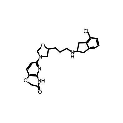 O=C1COc2ccc(N3COC(CCCNC4Cc5cccc(Cl)c5C4)C3)nc2N1